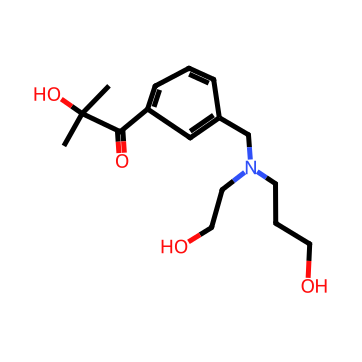 CC(C)(O)C(=O)c1cccc(CN(CCO)CCCO)c1